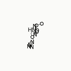 CN1C(=O)[C@@H](NC(=O)c2cc(-c3ccccc3)ccn2)CCc2ccc(CN3CCn4ncnc4C3)cc21